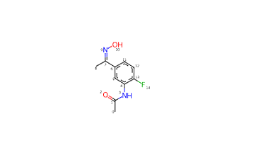 CC(=O)Nc1cc(/C(C)=N\O)ccc1F